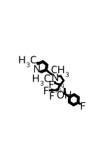 Cc1ccc(C(C)(C)N2CC[C@@](CCc3ccc(F)cc3)([C@@H](O)C(F)(F)F)C2)cn1